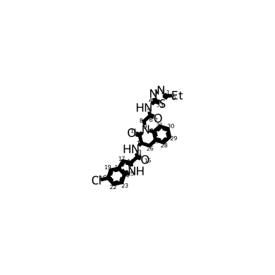 CCc1nnc(NC(=O)CN2C(=O)C(NC(=O)c3cc4cc(Cl)ccc4[nH]3)Cc3ccccc32)s1